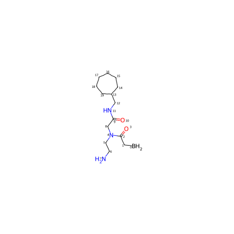 BCC(=O)N(CCN)CC(=O)NCC1CCCCCC1